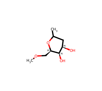 COC[C@H]1OC(C)C[C@@H](O)[C@H]1O